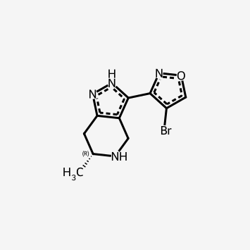 C[C@@H]1Cc2n[nH]c(-c3nocc3Br)c2CN1